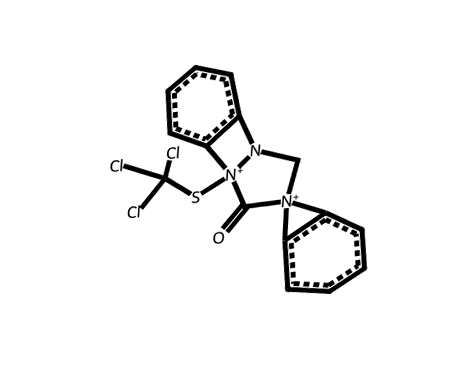 O=C1[N+]2(CN3c4ccccc4[N+]13SC(Cl)(Cl)Cl)c1ccccc12